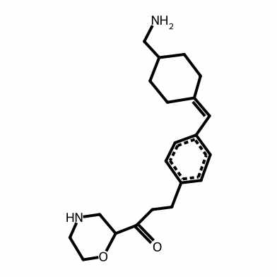 NCC1CCC(=Cc2ccc(CCC(=O)C3CNCCO3)cc2)CC1